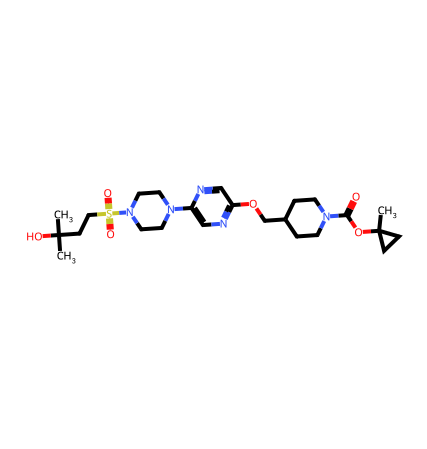 CC(C)(O)CCS(=O)(=O)N1CCN(c2cnc(OCC3CCN(C(=O)OC4(C)CC4)CC3)cn2)CC1